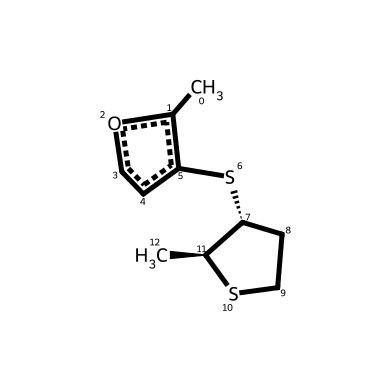 Cc1occc1S[C@@H]1CCS[C@H]1C